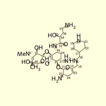 CN[C@@H]1[C@@H](O)[C@@H](O[C@@H]2[C@@H](O)[C@H](O[C@H]3OC(CNCC4CCNCC4)=CC[C@H]3N)[C@@H](N)C[C@H]2NC(=O)[C@@H](O)CCN)OC[C@]1(C)O